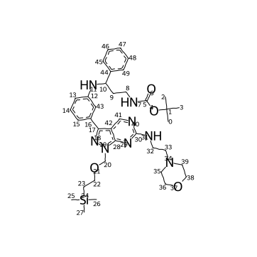 CC(C)(C)OC(=O)NCCC(Nc1cccc(-c2nn(COCC[Si](C)(C)C)c3nc(NCCN4CCOCC4)ncc23)c1)c1ccccc1